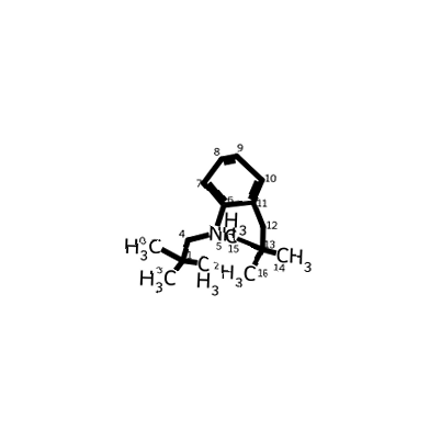 CC(C)(C)CNc1ccccc1CC(C)(C)C